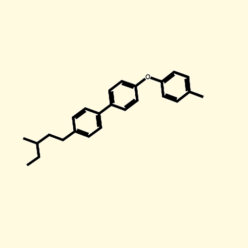 CCC(C)CCc1ccc(-c2ccc(Oc3ccc(C)cc3)cc2)cc1